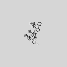 CCCCc1cn(-c2c(C(=O)C(F)(F)F)ccn2C(C)C)c(=O)n1Cc1ccc(-c2ccccc2-c2nnn[nH]2)nc1